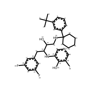 CC(C)(C)c1cccc(C2(NCC(O)C(Cc3cc(F)cc(F)c3)Nc3cncc(I)c3O)CCCCC2)c1